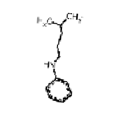 [CH2]C(C)CCCNc1ccccc1